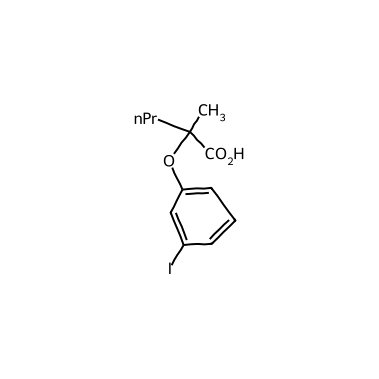 CCCC(C)(Oc1cccc(I)c1)C(=O)O